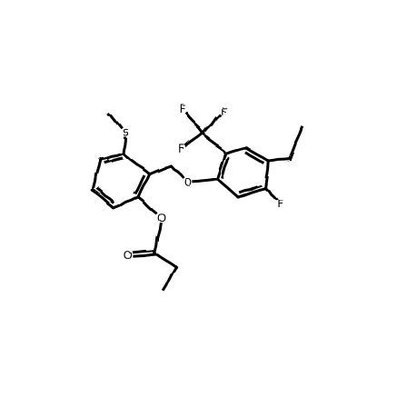 CCC(=O)Oc1cccc(SC)c1COc1cc(F)c(CC)cc1C(F)(F)F